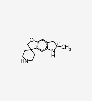 C[C@@H]1Cc2cc3c(cc2N1)C1(CCNCC1)CO3